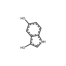 Oc1ccc2[nH]cc(O)c2c1